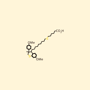 COc1ccc(C2(C)CSc3cc(OC)ccc3C2CCCCCCCCCSCCCCCC(=O)O)cc1